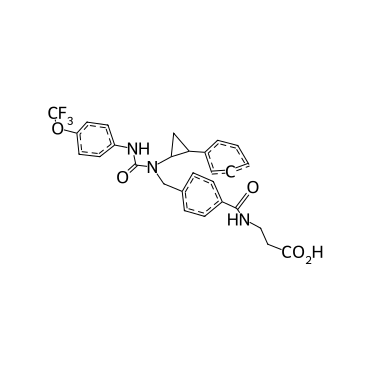 O=C(O)CCNC(=O)c1ccc(CN(C(=O)Nc2ccc(OC(F)(F)F)cc2)C2CC2c2ccccc2)cc1